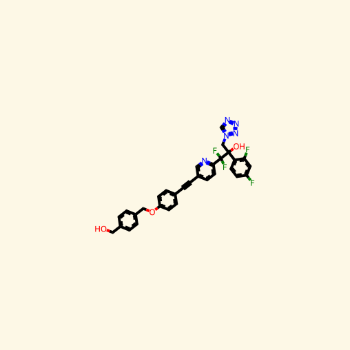 OCc1ccc(COc2ccc(C#Cc3ccc(C(F)(F)C(O)(Cn4cnnn4)c4ccc(F)cc4F)nc3)cc2)cc1